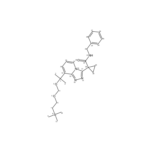 CC(C)(OCOCC[Si](C)(C)C)c1cccn2c(C3(C(=O)NCc4ccccc4)CC3)nnc12